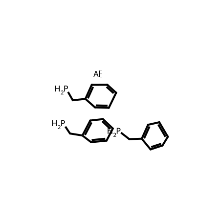 PCc1ccccc1.PCc1ccccc1.PCc1ccccc1.[Al]